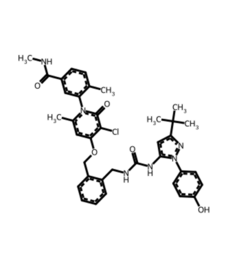 CNC(=O)c1ccc(C)c(-n2c(C)cc(OCc3ccccc3CNC(=O)Nc3cc(C(C)(C)C)nn3-c3ccc(O)cc3)c(Cl)c2=O)c1